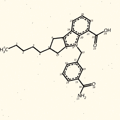 CCCCCC1Cc2c(n(Cc3cccc(C(N)=O)c3)c3c(C(=O)O)cccc23)C1